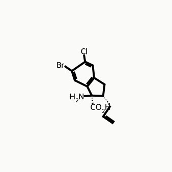 C=CC[C@H]1Cc2cc(Cl)c(Br)cc2[C@@]1(N)C(=O)O